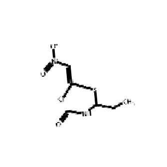 CCC(NC=O)SC(Cl)=C[N+](=O)[O-]